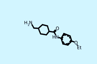 CCOc1ccc(NC(=O)C2CCC(CN)CC2)cc1